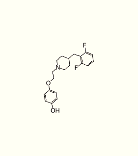 Oc1ccc(OCCN2CCC(Cc3c(F)cccc3F)CC2)cc1